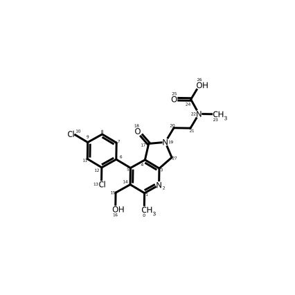 Cc1nc2c(c(-c3ccc(Cl)cc3Cl)c1CO)C(=O)N(CCN(C)C(=O)O)C2